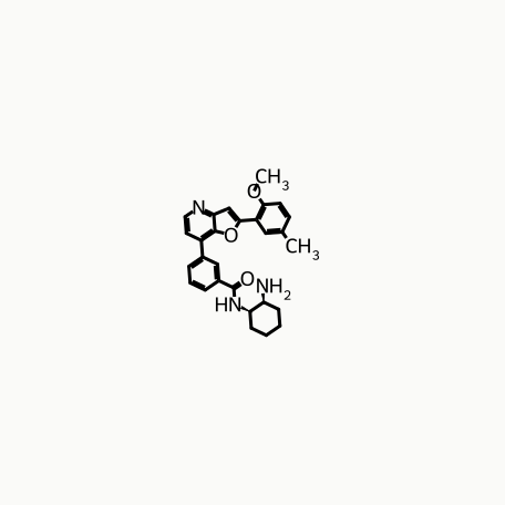 COc1ccc(C)cc1-c1cc2nccc(-c3cccc(C(=O)N[C@@H]4CCCC[C@@H]4N)c3)c2o1